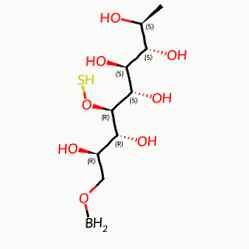 BOC[C@@H](O)[C@@H](O)[C@@H](OS)[C@@H](O)[C@@H](O)[C@@H](O)[C@H](C)O